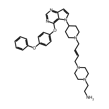 NCCN1CCN(C/C=C/CN2CCC(n3ccc4ncnc(Oc5ccc(Oc6ccccc6)cc5)c43)CC2)CC1